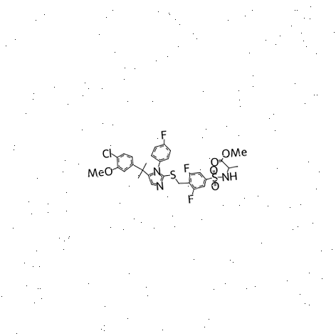 COC(=O)C(C)NS(=O)(=O)c1cc(F)c(CSc2ncc(C(C)(C)c3ccc(Cl)c(OC)c3)n2-c2ccc(F)cc2)c(F)c1